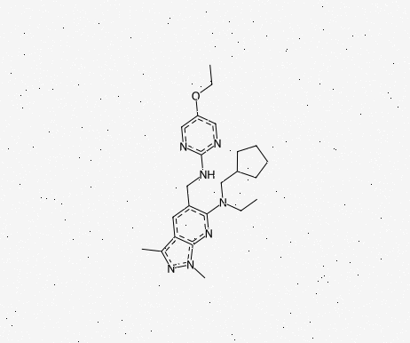 CCOc1cnc(NCc2cc3c(C)nn(C)c3nc2N(CC)CC2CCCC2)nc1